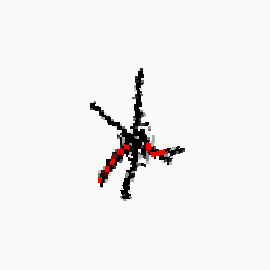 CCCCCCCCCC(=O)/C(CC/C=C(\C)CCCCCCCCC)=C(/C(=O)CCCCCCCCC)C(O)(C(=O)CCCCCCCCC)C(C(=O)CCCCCCCCC)(C(=O)CCCCCCCCC)C(O)(O)C(=O)CCCCCCCCC